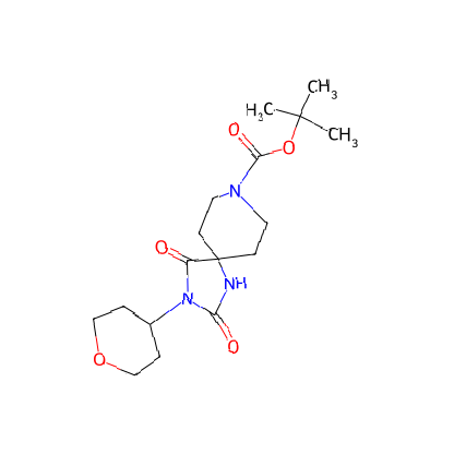 CC(C)(C)OC(=O)N1CCC2(CC1)NC(=O)N(C1CCOCC1)C2=O